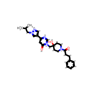 CC(C)Cn1cc(-c2cc(=O)n(CC3(O)CCN(C(=O)CCc4ccccc4)CC3)cn2)cn1